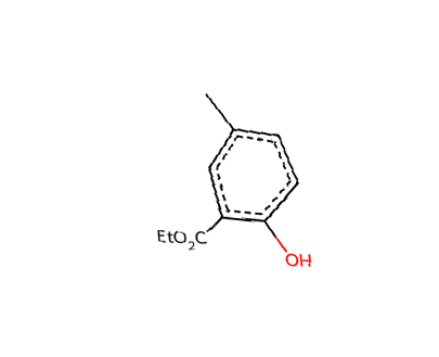 CCOC(=O)c1cc(C)ccc1O